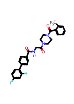 O=C(NCC(=O)N1CCN(C(=O)c2ccccc2C(F)(F)F)CC1)c1ccc(-c2ccc(F)cc2F)cc1